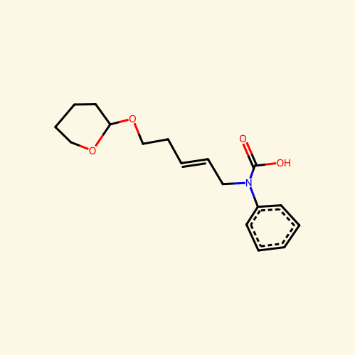 O=C(O)N(CC=CCCOC1CCCCO1)c1ccccc1